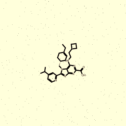 CCC1=CC[C@H](Cn2c(-c3cc(C(C)C)ccn3)nc3nc(C(=O)O)nc(NCCC4CCC4)c32)CC1